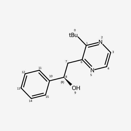 CC(C)(C)c1nccnc1C[C@@H](O)c1ccccc1